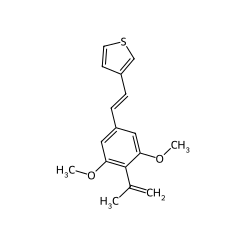 C=C(C)c1c(OC)cc(C=Cc2ccsc2)cc1OC